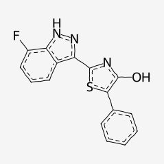 Oc1nc(-c2n[nH]c3c(F)cccc23)sc1-c1ccccc1